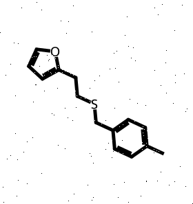 Cc1ccc(CSCCc2ccco2)cc1